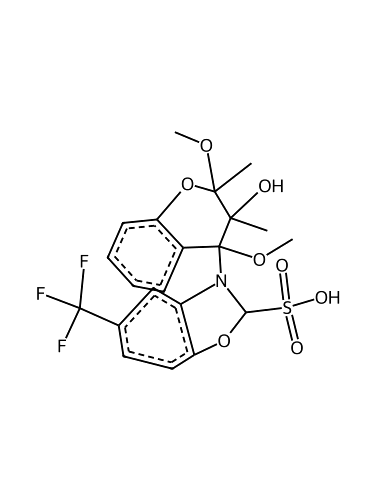 COC1(C)Oc2ccccc2C(OC)(N2c3cc(C(F)(F)F)ccc3OC2S(=O)(=O)O)C1(C)O